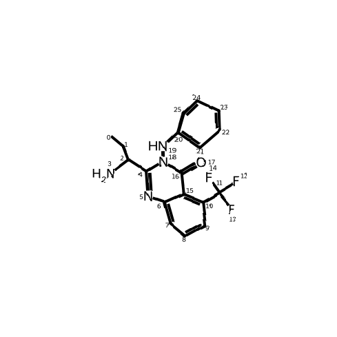 CCC(N)c1nc2cccc(C(F)(F)F)c2c(=O)n1Nc1ccccc1